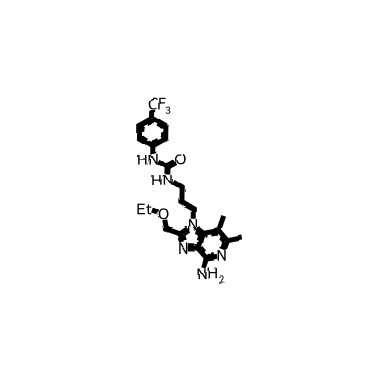 CCOCc1nc2c(N)nc(C)c(C)c2n1CCCNC(=O)Nc1ccc(C(F)(F)F)cc1